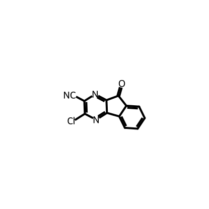 N#Cc1nc2c(nc1Cl)-c1ccccc1C2=O